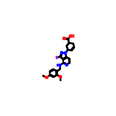 COc1ccc(CNc2nccc3c2c(I)nn3[C@@H]2C=CCC(C(=O)O)C2)c(OC)c1